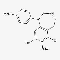 COc1ccc(C2CNCCc3c2cc(O)c(NC(C)=O)c3Cl)cc1